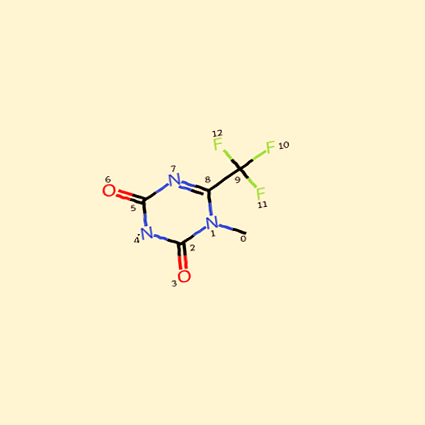 CN1C(=O)[N]C(=O)N=C1C(F)(F)F